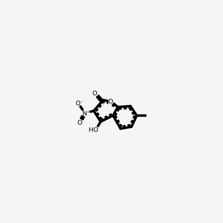 Cc1ccc2c(O)c([N+](=O)[O-])c(=O)oc2c1